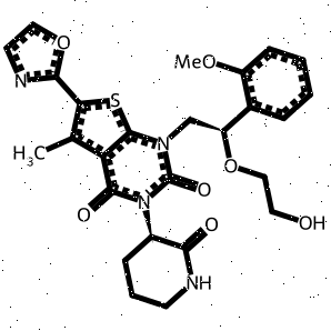 COc1ccccc1[C@H](Cn1c(=O)n([C@@H]2CCCNC2=O)c(=O)c2c(C)c(-c3ncco3)sc21)OCCO